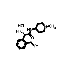 CC(C)Cc1ccccc1[C@@H](C)C(=O)NC1CCN(C)CC1.Cl